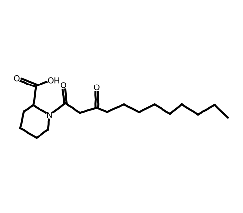 CCCCCCCCCC(=O)CC(=O)N1CCCCC1C(=O)O